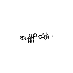 Nc1ncnc2c1sc1cc(-c3cccc(NC(=O)NCCN4CCOCC4)c3)ccc12